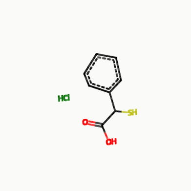 Cl.O=C(O)C(S)c1ccccc1